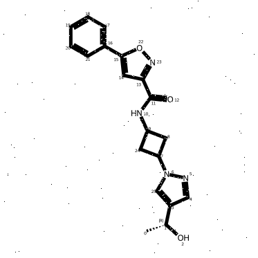 C[C@@H](O)c1cnn(C2CC(NC(=O)c3cc(-c4ccccc4)on3)C2)c1